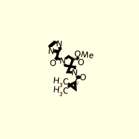 COC(=O)[C@@H]1CN(C(=O)c2cnccn2)CC12CN(C(=O)[C@H]1CC1(C)C)C2